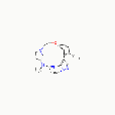 Cc1ccc2cc1-c1cnn3ccc(nc13)N(C)C1CCN(CCO2)C1